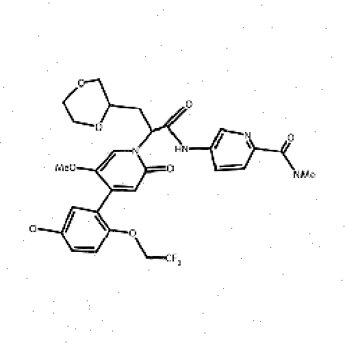 CNC(=O)c1ccc(NC(=O)C(CC2COCCO2)n2cc(OC)c(-c3cc(Cl)ccc3OCC(F)(F)F)cc2=O)cn1